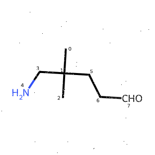 CC(C)(CN)CCC=O